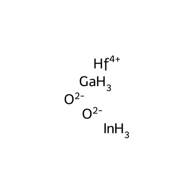 [GaH3].[Hf+4].[InH3].[O-2].[O-2]